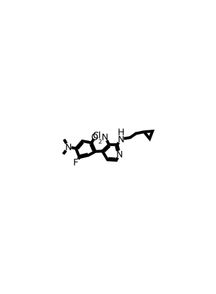 CN(C)c1cc(Cl)c(-c2ccnc(NCCC3CC3)c2[N+](=O)[O-])cc1F